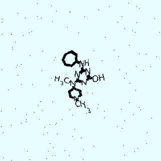 CN1CCC(N(C)c2nc(O)nc(NC3CCCCCC3)n2)CC1